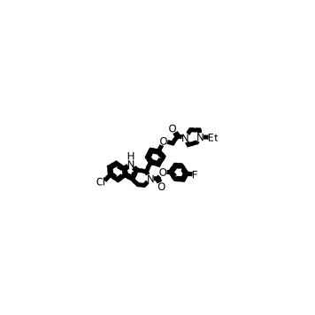 CCN1CCN(C(=O)COc2ccc(C3c4[nH]c5ccc(Cl)cc5c4CCN3C(=O)Oc3ccc(F)cc3)cc2)CC1